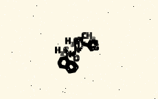 CN(C)[C@@H](CNC(=O)N(C)[C@@H]1CCCc2ccccc21)c1ccsc1